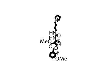 COC(=O)c1c(OCc2cccc(OC)c2F)nsc1NC(=O)NCCCCN1CCCC1